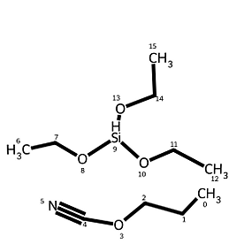 CCCOC#N.CCO[SiH](OCC)OCC